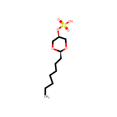 CCCCCCC[C@H]1OC[C@@H](OS(=O)(=O)O)CO1